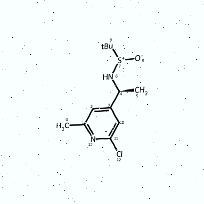 Cc1cc([C@H](C)N[S+]([O-])C(C)(C)C)cc(Cl)n1